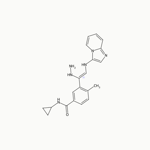 Cc1ccc(C(=O)NC2CC2)cc1/C(=C/Nc1cnc2ccccn12)NN